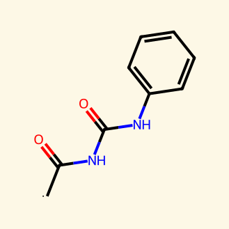 [CH2]C(=O)NC(=O)Nc1ccccc1